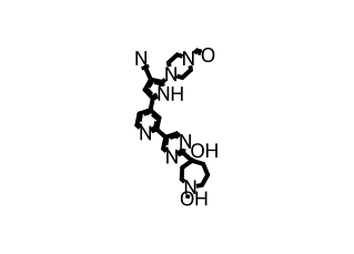 N#Cc1cc(-c2ccnc(-c3cnc(C4(O)CCCN(O)CC4)nc3)c2)[nH]c1N1CCN(C=O)CC1